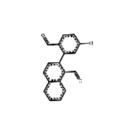 O=Cc1ccc(Cl)cc1-c1ccc2ccccc2c1C=O